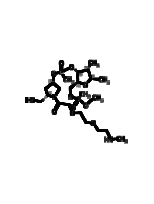 CNCCOCCOCC(=O)N1C[C@H](OP(C)(=O)O[C@@H]2[C@H](C)[C@@H](C)O[C@H]2COP(C)(=O)OC)C[C@H]1CO